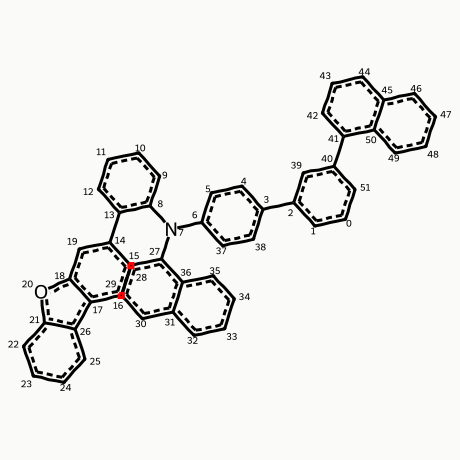 c1cc(-c2ccc(N(c3ccccc3-c3ccc4c(c3)oc3ccccc34)c3cccc4ccccc34)cc2)cc(-c2cccc3ccccc23)c1